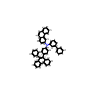 c1ccc(-c2cccc(N(c3ccc(-c4c(-c5ccccc5)c5ccccc5c5ccccc45)cc3)c3ccc4ccc5ccccc5c4c3)c2)cc1